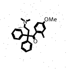 COc1ccc(C(=O)C(C[C@H](C)N(C)C)(c2ccccc2)c2ccccc2)c(C)c1